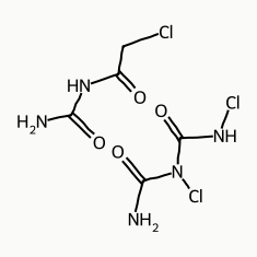 NC(=O)N(Cl)C(=O)NCl.NC(=O)NC(=O)CCl